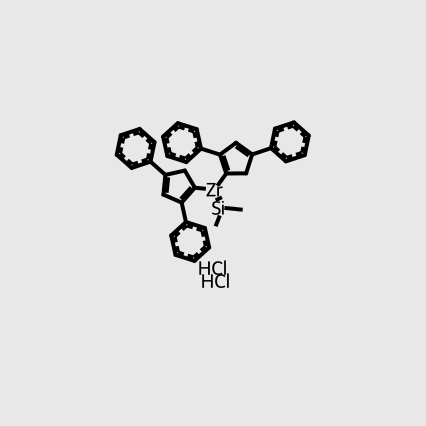 C[Si](C)=[Zr]([C]1=C(c2ccccc2)C=C(c2ccccc2)C1)[C]1=C(c2ccccc2)C=C(c2ccccc2)C1.Cl.Cl